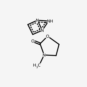 CN1CCOC1=O.c1cn2[nH]n12